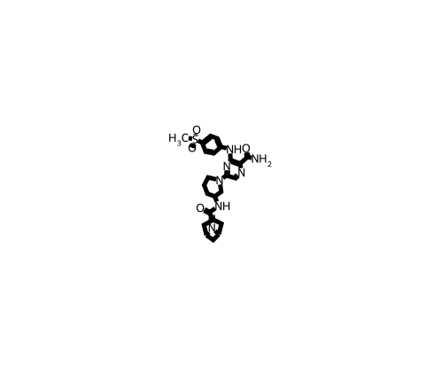 CS(=O)(=O)c1ccc(Nc2nc(N3CCCC(NC(=O)C4CC5CC(C4)N5)C3)cnc2C(N)=O)cc1